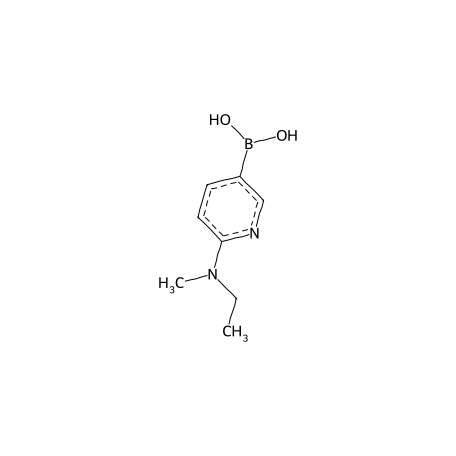 CCN(C)c1ccc(B(O)O)cn1